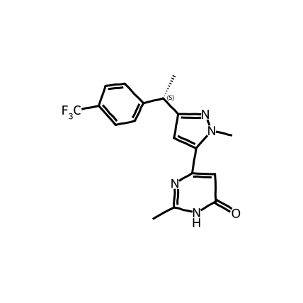 Cc1nc(-c2cc([C@@H](C)c3ccc(C(F)(F)F)cc3)nn2C)cc(=O)[nH]1